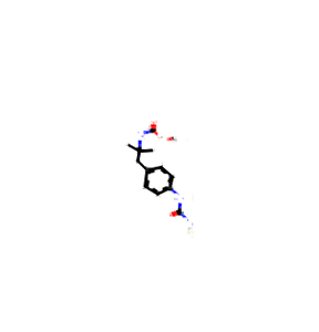 CC(C)(Cc1ccc(NC(=O)NS)cc1)NC(=O)OC(C)(C)C